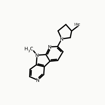 Cn1c2ccncc2c2ccc(N3CCC([18F])C3)nc21